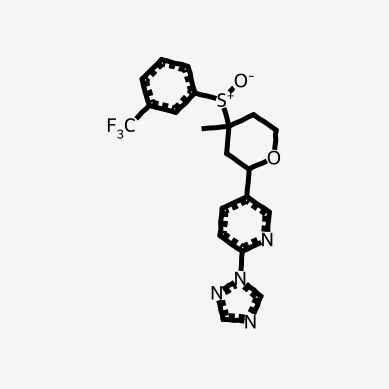 CC1([S+]([O-])c2cccc(C(F)(F)F)c2)CCOC(c2ccc(-n3cncn3)nc2)C1